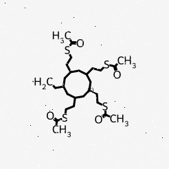 [CH2]CC1CC(CCSC(C)=O)CC(CCSC(C)=O)C[C@@H](CCSC(C)=O)CC(CCSC(C)=O)C1